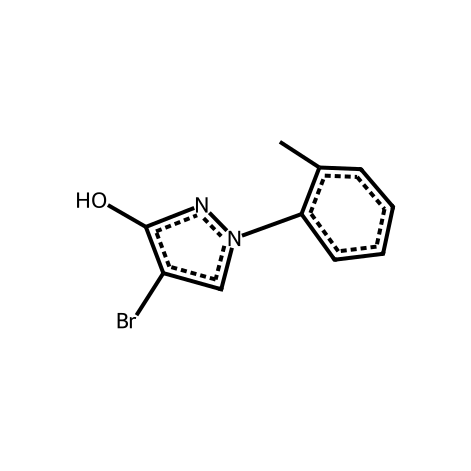 Cc1ccccc1-n1cc(Br)c(O)n1